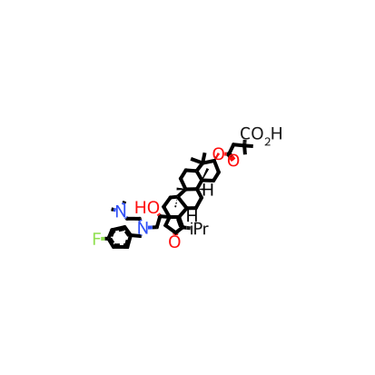 CC(C)C1=C2[C@H]3CC[C@@H]4[C@@]5(C)CC[C@H](OC(=O)CC(C)(C)C(=O)O)C(C)(C)C5CC[C@@]4(C)[C@]3(C)CCC2(C(O)CN(CCN(C)C)Cc2ccc(F)cc2)CC1=O